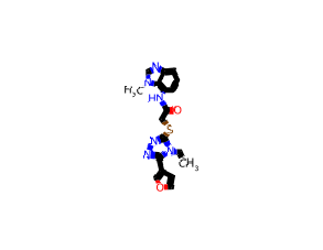 CCn1c(SCC(=O)Nc2cccc3ncn(C)c23)nnc1-c1ccoc1